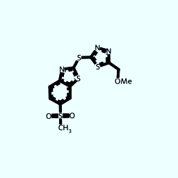 COCc1nnc(Sc2nc3ccc(S(C)(=O)=O)cc3s2)s1